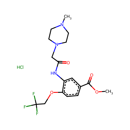 COC(=O)c1ccc(OCC(F)(F)F)c(NC(=O)CN2CCN(C)CC2)c1.Cl